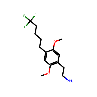 COc1cc(CCCCC(F)(F)F)c(OC)cc1CCN